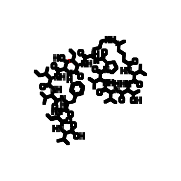 C/C=C(\NC(=O)[C@H](Cc1ccccc1)NC(=O)C(NC(=O)[C@H](NC(=O)C(NC(=O)[C@H](NC(=O)[C@H](CCCN)NC(=O)[C@H]1CCCN1C(=O)C(NC(=O)C(NC(=O)C(NC(=O)C(NC(=O)CCCC(C)C)C(C)C)C(C)O)C(C)C)C(C)C)C(C)CC)C(C)O)C(C)CC)C(C)C)C(=O)NC(C(=O)O)C(C)C